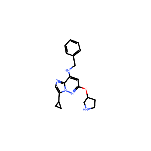 c1ccc(CNc2cc(OC3CCNC3)nn3c(C4CC4)cnc23)cc1